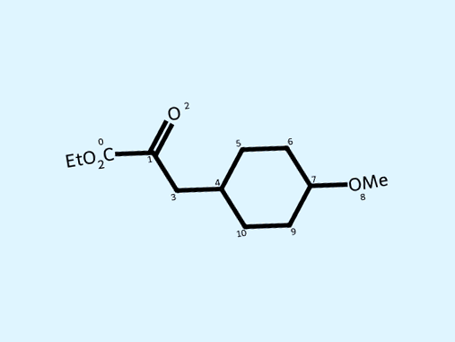 CCOC(=O)C(=O)CC1CCC(OC)CC1